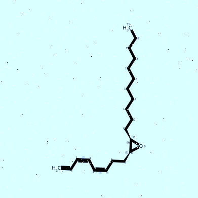 C=C/C=C\C=C/CC[C@@H]1O[C@@H]1CCCCCCCCCCC